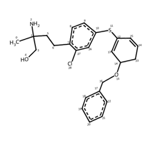 CC(N)(CO)CCc1ccc(SC2=CC(OCc3ccccc3)CC=C2)cc1Cl